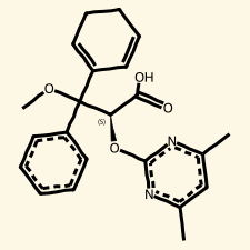 COC(C1=CCCC=C1)(c1ccccc1)[C@H](Oc1nc(C)cc(C)n1)C(=O)O